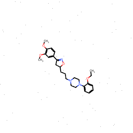 CCOc1ccccc1N1CCN(CCCC2CC(c3ccc(OC)c(OC)c3)=NO2)CC1